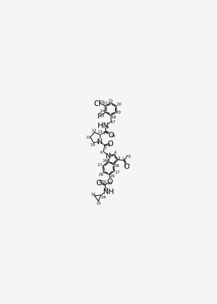 CC(=O)c1cn(CC(=O)N2CCC[C@H]2C(=O)NCc2cccc(Cl)c2F)c2ccc(OC(=O)NC3CC3)cc12